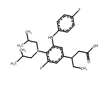 CCC(CC(=O)O)c1cc(F)c(N(CC(C)C)CC(C)C)c(Nc2ccc(F)cc2)c1